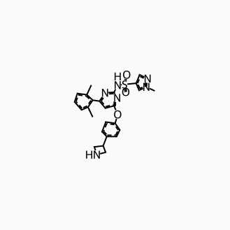 Cc1cccc(C)c1-c1cc(Oc2ccc(C3CNC3)cc2)nc(NS(=O)(=O)c2cnn(C)c2)n1